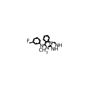 CN(c1cccc(CF)c1)c1nc(=N)n(C=N)c2ccccc12